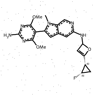 COc1nc(N)nc(OC)c1-c1cc2cc(NC3C=C([C@@H]4C[C@@H]4F)O3)ncc2n1C